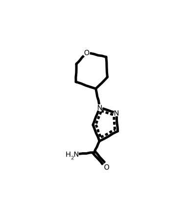 NC(=O)c1cnn(C2CCOCC2)c1